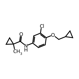 CC1(C(=O)Nc2ccc(OCC3CC3)c(Cl)c2)CC1